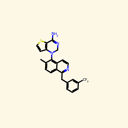 Cc1ccc2c(Cc3cccc(C(F)(F)F)c3)nccc2c1N1CN=C(N)c2sccc21